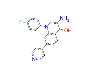 NC1=CN(c2ccc(F)cc2)c2cc(-c3ccncc3)ccc2C1O